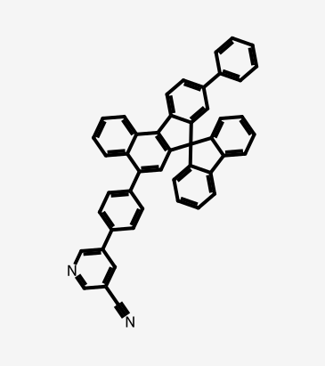 N#Cc1cncc(-c2ccc(-c3cc4c(c5ccccc35)-c3ccc(-c5ccccc5)cc3C43c4ccccc4-c4ccccc43)cc2)c1